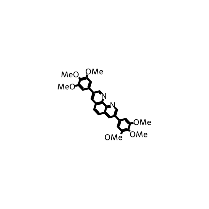 COc1cc(-c2cnc3c(ccc4cc(-c5cc(OC)c(OC)c(OC)c5)cnc43)c2)cc(OC)c1OC